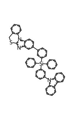 c1ccc([Si](c2ccccc2)(c2cccc(-c3ccc4c(c3)nc3n4-c4ccccc4CS3)c2)c2cccc(-n3c4ccccc4c4ccccc43)c2)cc1